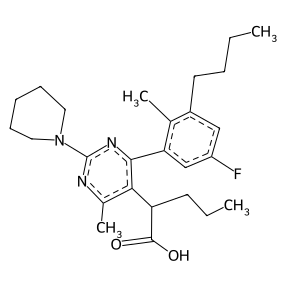 CCCCc1cc(F)cc(-c2nc(N3CCCCC3)nc(C)c2C(CCC)C(=O)O)c1C